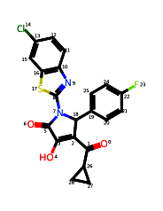 O=C(C1=C(O)C(=O)N(c2nc3ccc(Cl)cc3s2)C1c1ccc(F)cc1)C1CC1